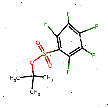 CC(C)(C)OS(=O)(=O)c1c(F)c(F)c(F)c(F)c1F